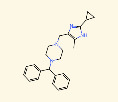 Cc1[nH]c(C2CC2)nc1CN1CCN(C(c2ccccc2)c2ccccc2)CC1